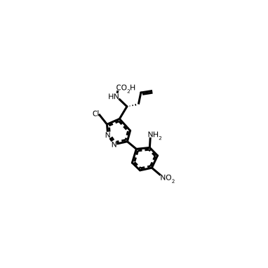 C=CC[C@@H](NC(=O)O)c1cc(-c2ccc([N+](=O)[O-])cc2N)nnc1Cl